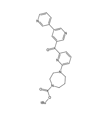 CC(C)(C)OC(=O)N1CCCN(c2cccc(C(=O)c3cncc(-c4cccnc4)c3)n2)CC1